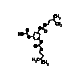 CC(C)CCOC(=O)OC1CC(OC(=O)O)CC(OC(=O)OCCC(C)C)C1